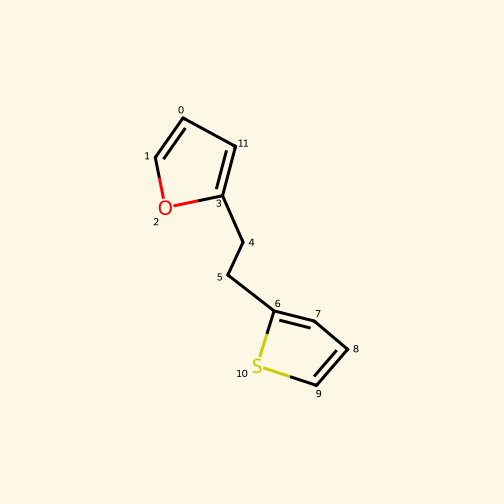 c1coc(CCc2cccs2)c1